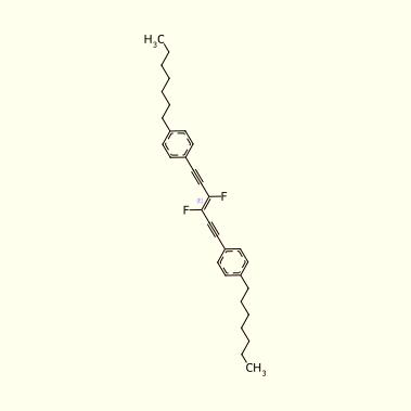 CCCCCCCc1ccc(C#C/C(F)=C(\F)C#Cc2ccc(CCCCCCC)cc2)cc1